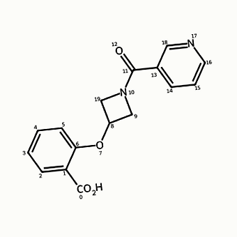 O=C(O)c1ccccc1OC1CN(C(=O)c2cccnc2)C1